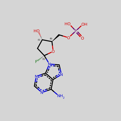 Nc1ncnc2c1ncn2[C@@]1(F)C[C@H](O)[C@@H](COP(=O)(O)O)O1